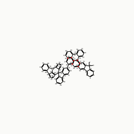 CC1(C)c2ccccc2-c2ccc(N(c3cccc(-c4ccc5c(c4)C4(c6ccccc6-5)c5ccccc5-n5c6ccccc6c6cccc4c65)c3)c3ccccc3-c3ccccc3-c3ccccc3)cc21